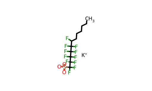 CCCCCCC(F)C(F)(F)C(F)(F)C(F)(F)C(F)(F)C(F)(F)S(=O)(=O)[O-].[K+]